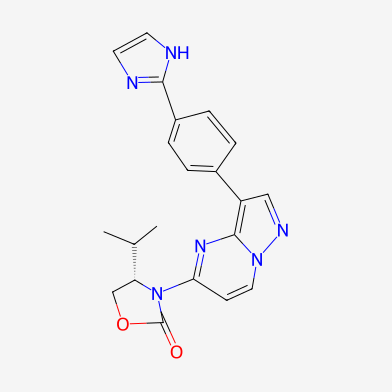 CC(C)[C@H]1COC(=O)N1c1ccn2ncc(-c3ccc(-c4ncc[nH]4)cc3)c2n1